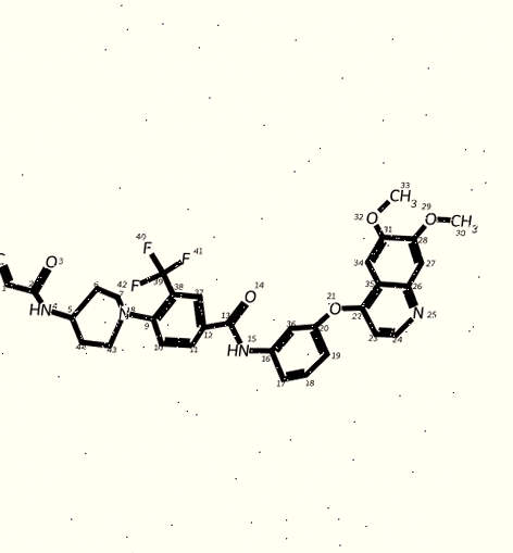 C=CC(=O)NC1CCN(c2ccc(C(=O)Nc3cccc(Oc4ccnc5cc(OC)c(OC)cc45)c3)cc2C(F)(F)F)CC1